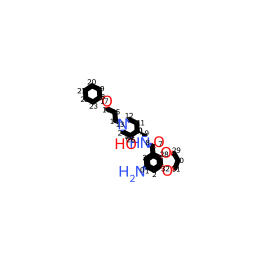 Nc1cc2c(c(C(=O)NC[C@@H]3CCN(CCCOC4CCCCC4)C[C@H]3O)c1)OCCCO2